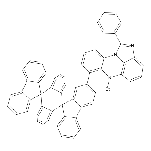 CCN1c2c(-c3ccc4c(c3)C3(c5ccccc5-4)c4ccccc4C4(c5ccccc5-c5ccccc54)c4ccccc43)cccc2-n2c(-c3ccccc3)nc3cccc1c32